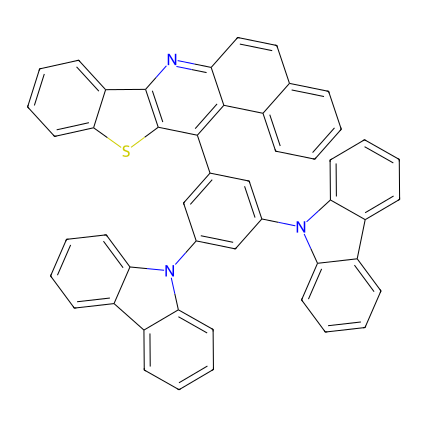 c1ccc2c(c1)ccc1nc3c(sc4ccccc43)c(-c3cc(-n4c5ccccc5c5ccccc54)cc(-n4c5ccccc5c5ccccc54)c3)c12